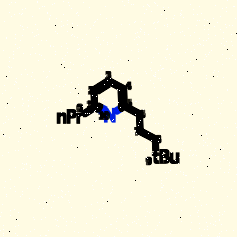 CCCc1cccc(CCCC(C)(C)C)n1